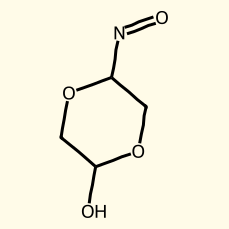 O=NC1COC(O)CO1